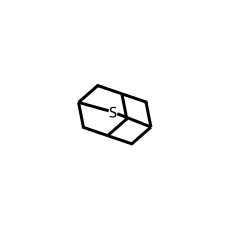 C1C2CC3CC1CC(C2)S3